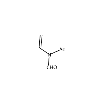 C=CN(C=O)C(C)=O